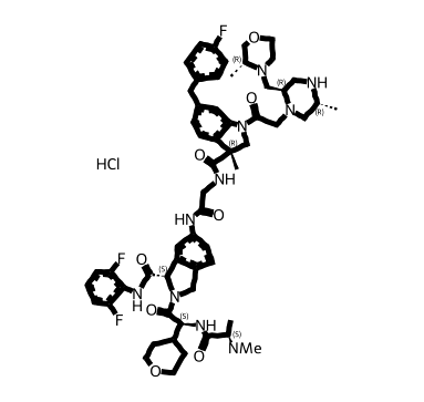 CN[C@@H](C)C(=O)N[C@H](C(=O)N1Cc2ccc(NC(=O)CNC(=O)[C@@]3(C)CN(C(=O)CN4C[C@@H](C)NC[C@@H]4CN4CCOC[C@H]4C)c4cc(Cc5ccc(F)cc5)ccc43)cc2[C@H]1C(=O)Nc1c(F)cccc1F)C1CCOCC1.Cl